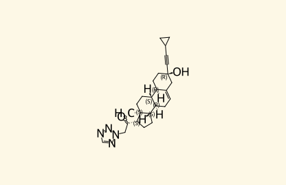 C[C@]12CC[C@H]3[C@@H](CC=C4C[C@@](O)(C#CC5CC5)CC[C@@H]43)[C@@H]1CC[C@@H]2C(=O)Cn1ncnn1